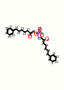 O=C(CCCCCc1ccccc1)CO[PH](=O)OCC(=O)CCCCCc1ccccc1